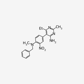 CCc1nc(C)nc(N)c1-c1ccc(N(C)Cc2ccccc2)c([N+](=O)[O-])c1